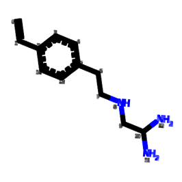 C=Cc1ccc(CCNCC(N)N)cc1